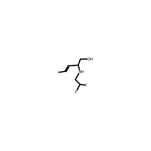 OCC(C=CI)NCC(F)F